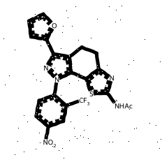 CC(=O)Nc1nc2c(s1)-c1c(c(-c3ccco3)nn1-c1ccc([N+](=O)[O-])cc1C(F)(F)F)CC2